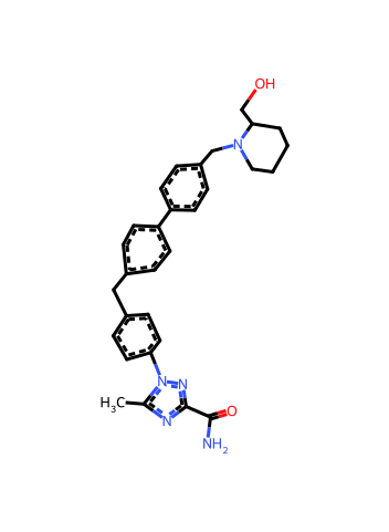 Cc1nc(C(N)=O)nn1-c1ccc(Cc2ccc(-c3ccc(CN4CCCCC4CO)cc3)cc2)cc1